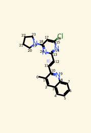 Cc1cc2ccccc2nc1/C=C/c1nc(Cl)cc(N2CCCC2)n1